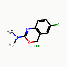 Br.CN(C)C1=Nc2ccc(Cl)cc2CO1